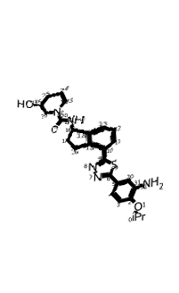 CC(C)Oc1ccc(-c2nnc(-c3cccc4c3CCC4NC(=O)N3CCC[C@H](O)C3)s2)cc1N